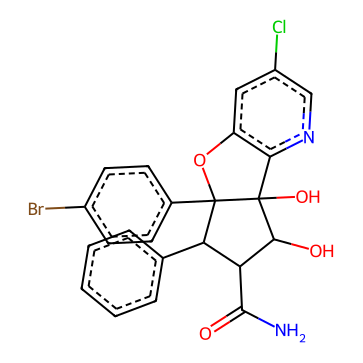 NC(=O)C1C(O)C2(O)c3ncc(Cl)cc3OC2(c2ccc(Br)cc2)C1c1ccccc1